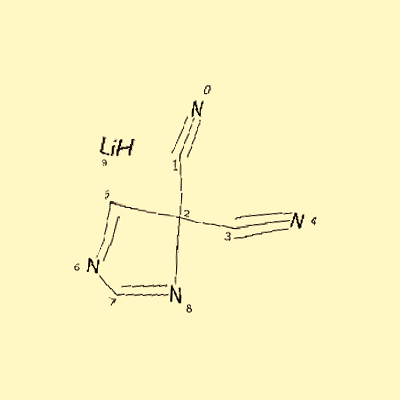 N#CC1(C#N)C=NC=N1.[LiH]